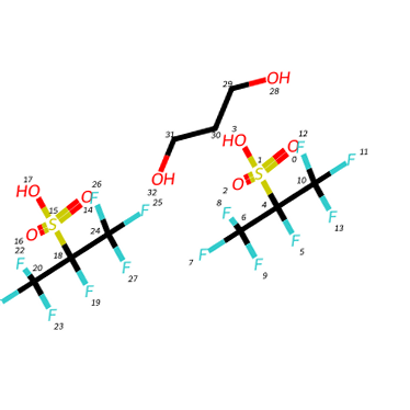 O=S(=O)(O)C(F)(C(F)(F)F)C(F)(F)F.O=S(=O)(O)C(F)(C(F)(F)F)C(F)(F)F.OCCCO